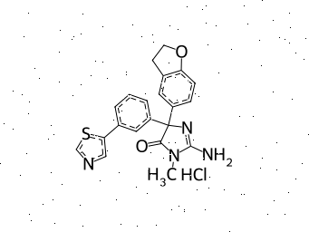 CN1C(=O)C(c2cccc(-c3cncs3)c2)(c2ccc3c(c2)CCO3)N=C1N.Cl